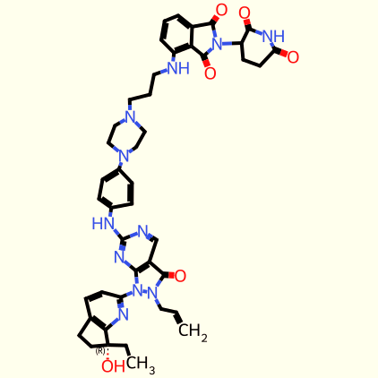 C=CCn1c(=O)c2cnc(Nc3ccc(N4CCN(CCCNc5cccc6c5C(=O)N(C5CCC(=O)NC5=O)C6=O)CC4)cc3)nc2n1-c1ccc2c(n1)[C@@](O)(CC)CC2